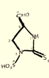 O=CC1CN(S(=O)(=O)O)C(=S)N1